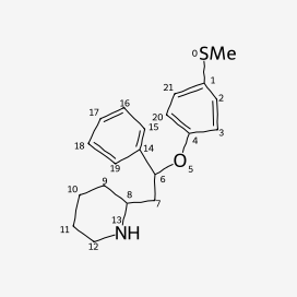 CSc1ccc(OC(CC2CCCCN2)c2ccccc2)cc1